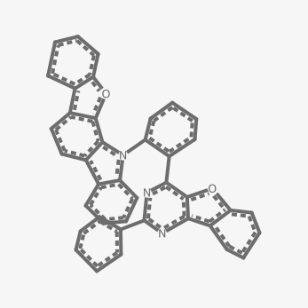 c1ccc(-c2nc(-c3ccccc3-n3c4ccccc4c4ccc5c6ccccc6oc5c43)c3oc4ccccc4c3n2)cc1